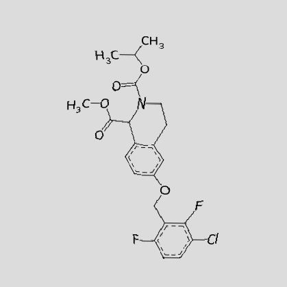 COC(=O)C1c2ccc(OCc3c(F)ccc(Cl)c3F)cc2CCN1C(=O)OC(C)C